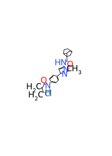 C=C(Cl)C(=C)C(=O)Nc1ccc(-c2cc(NC(=O)C3CC4CCC3CC4)n(C)n2)cc1